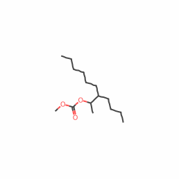 CCCCCCC(CCCC)C(C)OC(=O)OC